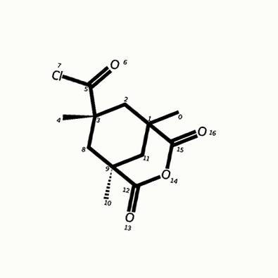 CC12C[C@@](C)(C(=O)Cl)C[C@@](C)(C1)C(=O)OC2=O